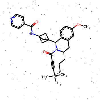 CCCC[C@H]1Cc2cc(OC)ccc2[C@H](C23CC(NC(=O)c4ccncc4)(C2)C3)N1C(=O)C#C[Si](C)(C)C